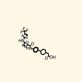 O=C(O)CC1CCC(c2ccc(NC(=O)c3nnc(Nc4nc(C(F)(F)F)cs4)o3)cc2)CC1